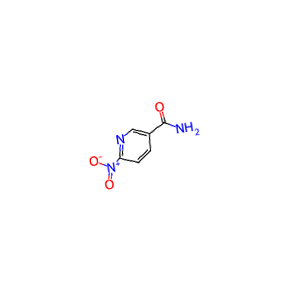 NC(=O)c1ccc([N+](=O)[O-])nc1